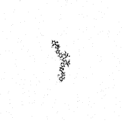 Cc1cc(C)n(CC(C(=O)C(Cn2nc(C)cc2C)N2CCC(c3nc(C4=NO[C@@H](c5c(F)cccc5F)C4)cs3)CC2)N2CCC(c3nc(C4=NO[C@@H](c5c(F)cccc5F)C4)cs3)CC2)n1